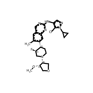 CO[C@H]1COC[C@H]1N1CC[C@@H](c2cc3nc(Nc4cnn(C5CC5)c4Cl)ncc3cc2C)[C@H](F)C1